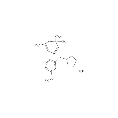 CC1(C(=O)O)C=CC=C(C(=O)O)C1.O=C(O)C1CCN(Cc2cccc(OC(F)(F)F)c2)C1